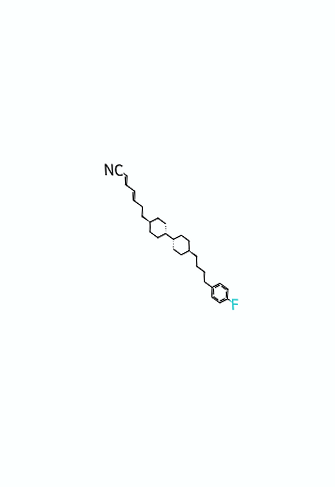 N#CC=CC=CCC[C@H]1CC[C@H]([C@H]2CC[C@H](CCCCc3ccc(F)cc3)CC2)CC1